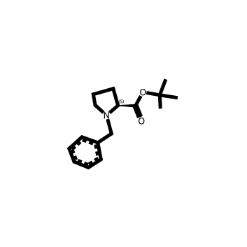 CC(C)(C)OC(=O)[C@@H]1CCCN1Cc1ccccc1